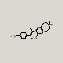 CCCCCCCCc1cc2c(cc1C(C)=Cc1ccc(C(=O)O)cc1)CCC(C)(C)CC2